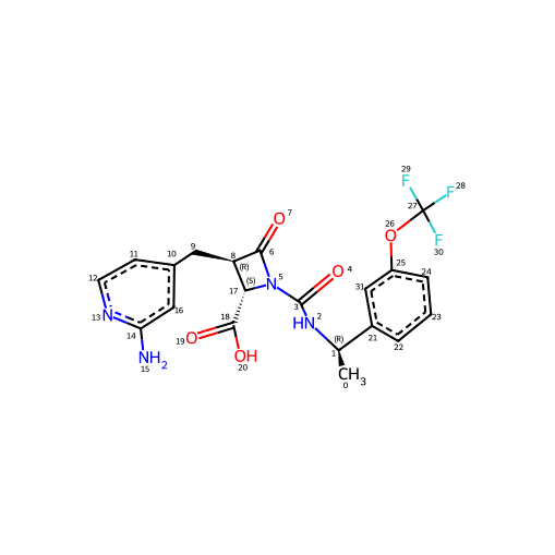 C[C@@H](NC(=O)N1C(=O)[C@H](Cc2ccnc(N)c2)[C@H]1C(=O)O)c1cccc(OC(F)(F)F)c1